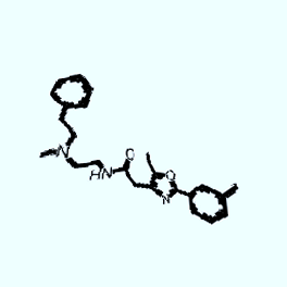 Cc1cccc(-c2nc(CC(=O)NCCN(C)CCc3ccccc3)c(C)o2)c1